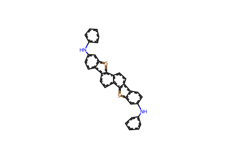 c1ccc(Nc2ccc3c(c2)sc2c3ccc3c2ccc2c4ccc(Nc5ccccc5)cc4sc23)cc1